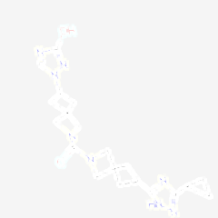 O=C(N1CC2(CC(c3nc(C4CC4)n[nH]3)C2)C1)N1CC2(CC(n3cnc(O)n3)C2)C1